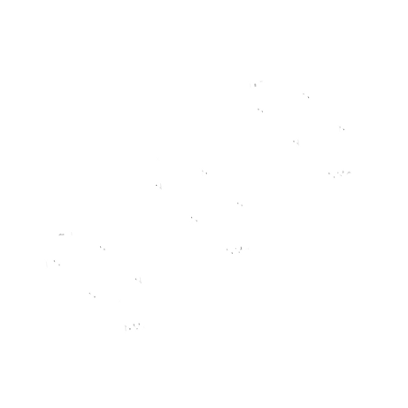 CCCCCNC1=NC(CCN2C(NC)=NC(CCN3C(NC)=NC(C)N=C3NCCC)N=C2NCCCC)N=C(NC)N1C